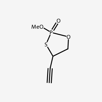 C#CC1COP(=O)(OC)S1